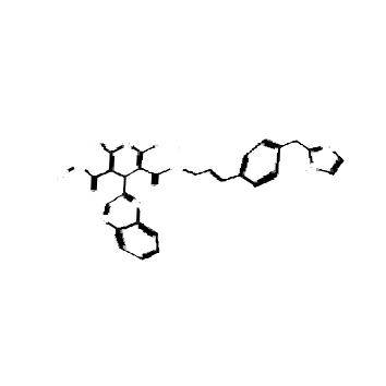 COC(=O)C1=C(C)NC(C)=C(C(=O)OCC=Cc2ccc(Cc3ncc[nH]3)cc2)C1c1cnc2ccccc2n1